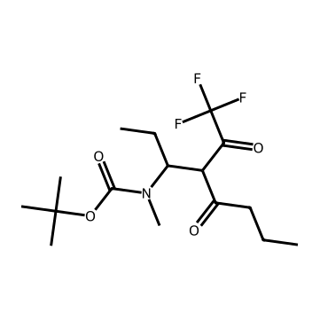 CCCC(=O)C(C(=O)C(F)(F)F)C(CC)N(C)C(=O)OC(C)(C)C